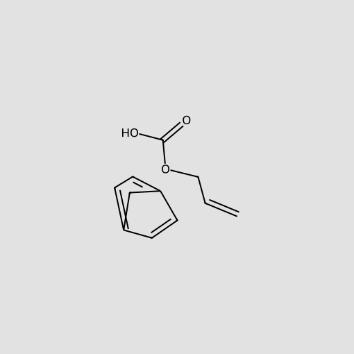 C1=CC2=CC=C1C2.C=CCOC(=O)O